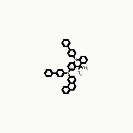 CC1(C)c2ccccc2N(c2ccc(-c3ccccc3)cc2)c2ccc(N(c3ccc(-c4ccccc4)cc3)c3ccc4ccc5ccccc5c4c3)cc21